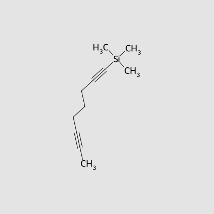 CC#CCCCC#C[Si](C)(C)C